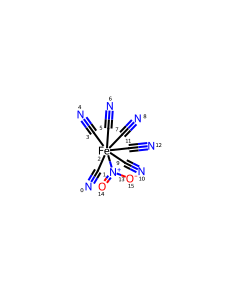 N#[C][Fe]([C]#N)([C]#N)([C]#N)([C]#N)([C]#N)[N+](=O)[O-]